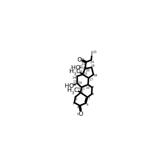 CC12CCC(=O)C=C1CCC1C2[C@@H](O)CC2(C)C1CC[C@]2(O)C(=O)CI